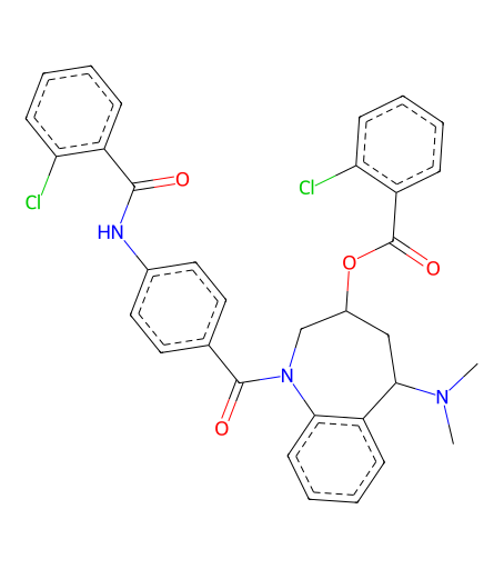 CN(C)C1CC(OC(=O)c2ccccc2Cl)CN(C(=O)c2ccc(NC(=O)c3ccccc3Cl)cc2)c2ccccc21